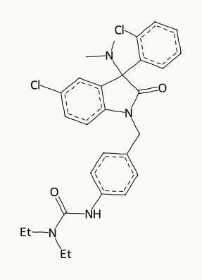 CCN(CC)C(=O)Nc1ccc(CN2C(=O)C(c3ccccc3Cl)(N(C)C)c3cc(Cl)ccc32)cc1